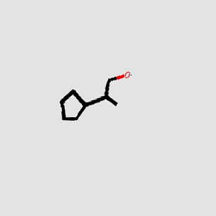 CC(C[O])C1CCCC1